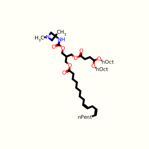 CCCCC/C=C\C/C=C\CCCCCCCC(=O)OCC(COC(=O)CCC(OCCCCCCCC)OCCCCCCCC)COC(=O)NC1(C)CN(C)C1